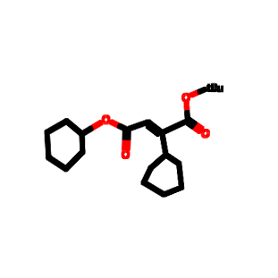 CC(C)(C)OC(=O)C(=CC(=O)OC1CCCCC1)C1CCCCC1